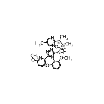 COC1=NC(c2nnc(NS(=O)(=O)[C@H](C)[C@@H](C)c3ncc(C)cn3)n2-c2c(O)cccc2OC)=C=C=C1